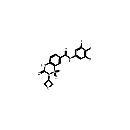 O=C(Nc1cc(F)c(F)c(F)c1)c1ccc2c(c1)S(=O)(=O)N(C1COC1)C(=O)N2